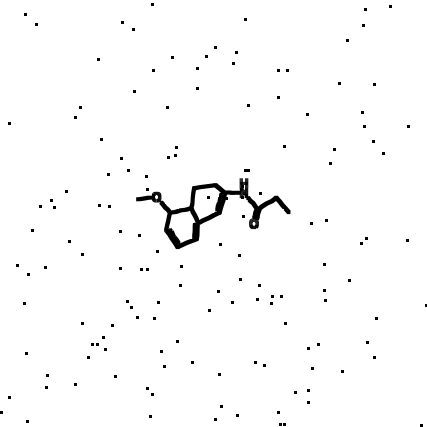 CCC(=O)NC1=CC2=CC=CC(OC)C2CC1